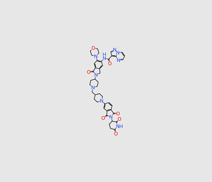 O=C1CCC(N2C(=O)c3ccc(N4CCC(CN5CCC(N6Cc7cc(NC(=O)c8cnn9cccnc89)c(N8CCOCC8)cc7C6=O)CC5)CC4)cc3C2=O)C(=O)N1